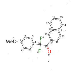 COc1ccc(C(F)(F)C(=O)c2ccc3ccccc3c2)cc1